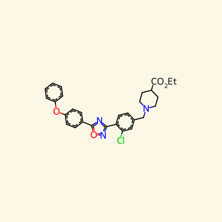 CCOC(=O)C1CCN(Cc2ccc(-c3noc(-c4ccc(Oc5ccccc5)cc4)n3)c(Cl)c2)CC1